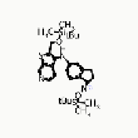 CC(C)(C)[Si](C)(C)OCc1sc2cnccc2c1Nc1ccc2c(c1)CC/C2=N/O[Si](C)(C)C(C)(C)C